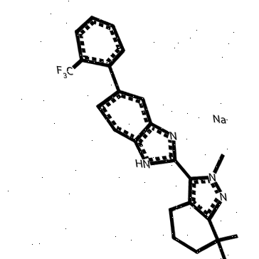 Cn1nc2c(c1-c1nc3cc(-c4ccccc4C(F)(F)F)ccc3[nH]1)CCCC2(C)C.[Na]